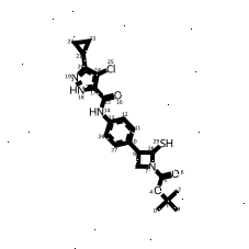 CC(C)(C)OC(=O)N1CC(c2ccc(NC(=O)c3[nH]nc(C4CC4)c3Cl)cc2)C1S